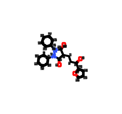 O=C(CCC1C(=O)N(c2ccccc2)N(c2ccccc2)C1=O)c1ccco1